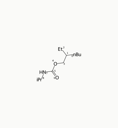 CCCCC(CC)COC(=O)NC(C)C